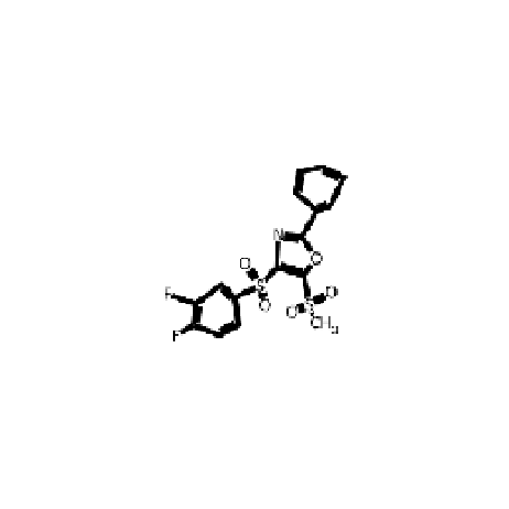 CS(=O)(=O)c1oc(-c2ccccc2)nc1S(=O)(=O)c1ccc(F)c(F)c1